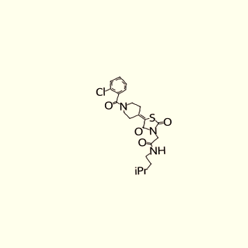 CC(C)CCNC(=O)CN1C(=O)SC(=C2CCN(C(=O)c3ccccc3Cl)CC2)C1=O